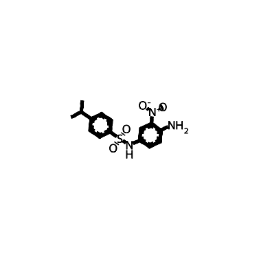 CC(C)c1ccc(S(=O)(=O)Nc2ccc(N)c([N+](=O)[O-])c2)cc1